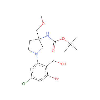 COCC1(NC(=O)OC(C)(C)C)CCN(c2cc(Cl)cc(Br)c2CO)C1